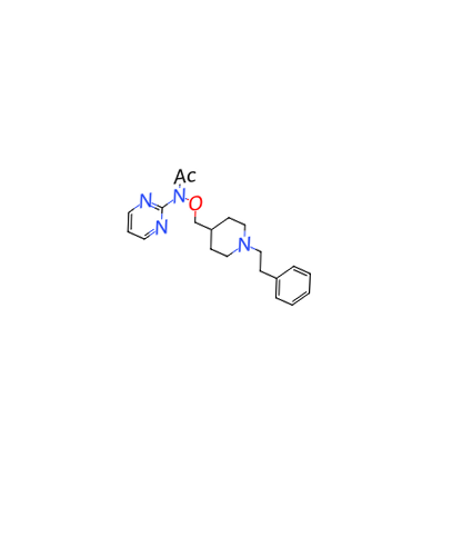 CC(=O)N(OCC1CCN(CCc2ccccc2)CC1)c1ncccn1